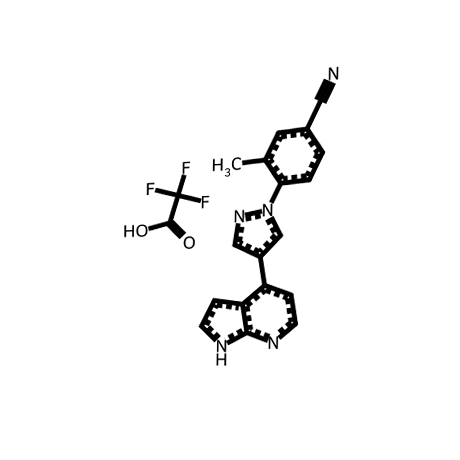 Cc1cc(C#N)ccc1-n1cc(-c2ccnc3[nH]ccc23)cn1.O=C(O)C(F)(F)F